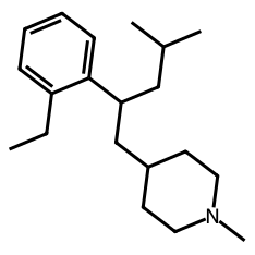 CCc1ccccc1C(CC(C)C)CC1CCN(C)CC1